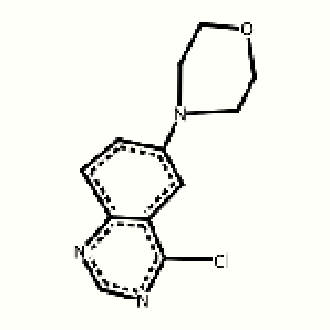 Clc1ncnc2ccc(N3CCOCC3)cc12